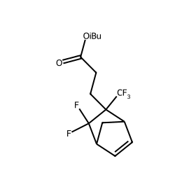 CC(C)COC(=O)CCC1(C(F)(F)F)C2C=CC(C2)C1(F)F